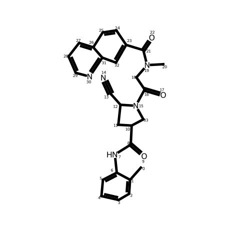 Cc1ccccc1NC(=O)C1CC(C#N)N(C(=O)CN(C)C(=O)c2ccc3cccnc3c2)C1